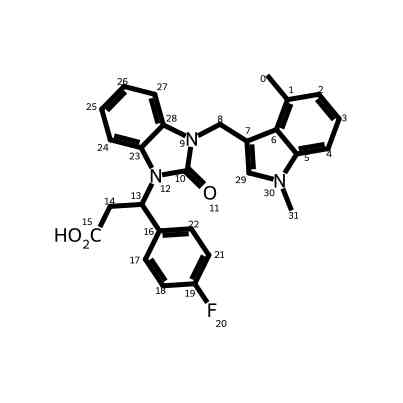 Cc1cccc2c1c(Cn1c(=O)n(C(CC(=O)O)c3ccc(F)cc3)c3ccccc31)cn2C